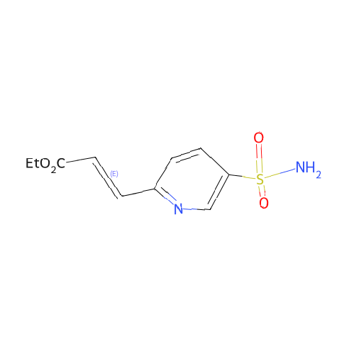 CCOC(=O)/C=C/c1ccc(S(N)(=O)=O)cn1